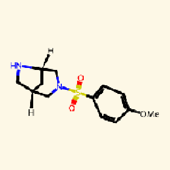 COc1ccc(S(=O)(=O)N2C[C@@H]3CN[C@@H](C3)C2)cc1